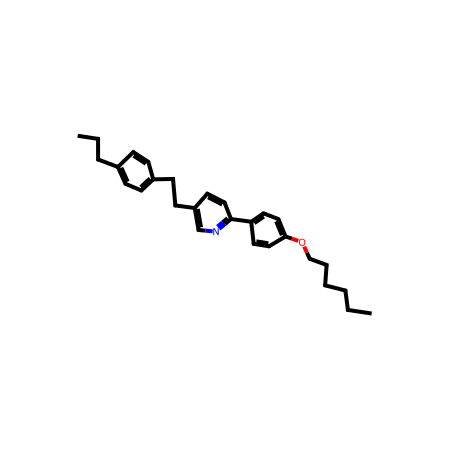 CCCCCCOc1ccc(-c2ccc(CCc3ccc(CCC)cc3)cn2)cc1